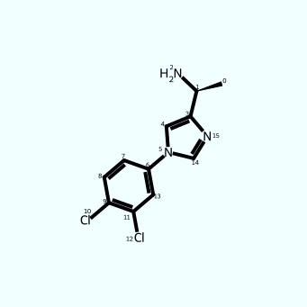 C[C@H](N)c1cn(-c2ccc(Cl)c(Cl)c2)cn1